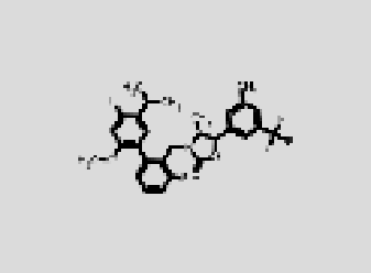 COc1cc(F)c(C(C)C)cc1-c1cccc(F)c1CN1C(=O)OC(c2cc(C)cc(C(F)(F)F)c2)[C@@H]1C